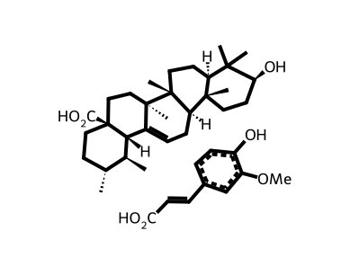 COc1cc(/C=C/C(=O)O)ccc1O.C[C@H]1[C@H](C)CC[C@]2(C(=O)O)CC[C@]3(C)C(=CC[C@@H]4[C@@]5(C)CC[C@H](O)C(C)(C)[C@@H]5CC[C@]43C)[C@H]12